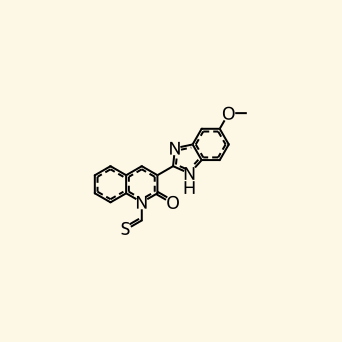 COc1ccc2[nH]c(-c3cc4ccccc4n(C=S)c3=O)nc2c1